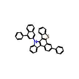 c1ccc(-c2ccc3c(c2)c2sc4ccccc4c2c2c3c3ccccc3n2-c2cc(-c3ccccc3)c3ccccc3c2)cc1